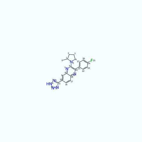 CC1CCCN1c1nc2cc(-c3nn[nH]n3)ccc2nc1-c1ccc(F)cc1